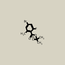 Cc1cc(Br)cc(F)c1C(=O)OC(C)(C)C